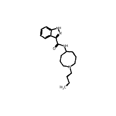 CCCCN1CCCC(NC(=O)c2n[nH]c3ccccc23)CCC1